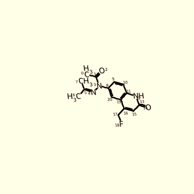 CC(=O)N(N=C(C)C)c1ccc2[nH]c(=O)cc(CF)c2c1